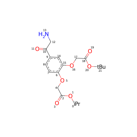 CC(C)OC(=O)COc1ccc(C(=O)CN)cc1OCC(=O)OC(C)(C)C